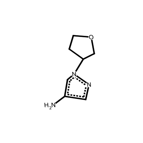 Nc1cnn(C2CCOC2)c1